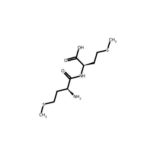 CSCC[C@H](N)C(=O)N[C@H](CCSC)C(=O)O